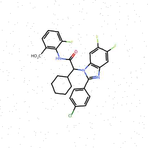 O=C(O)c1cccc(F)c1NC(=O)C(C1CCCCC1)n1c(-c2ccc(Cl)cc2)nc2cc(F)c(F)cc21